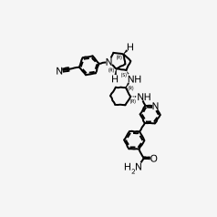 N#Cc1ccc(N2C[C@@H]3C[C@H](N[C@@H]4CCCC[C@H]4Nc4cc(-c5cccc(C(N)=O)c5)ccn4)[C@H]2C3)cc1